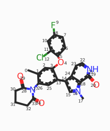 Cc1cc(Oc2ccc(F)cc2Cl)c(-c2cn(C)c3c(=O)[nH]ccc23)cc1N1C(=O)CCCC1=O